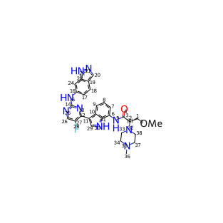 COC[C@H](C(=O)Nc1cccc2c(-c3nc(Nc4ccc5cn[nH]c5c4)ncc3F)c[nH]c12)N1CCN(C)CC1